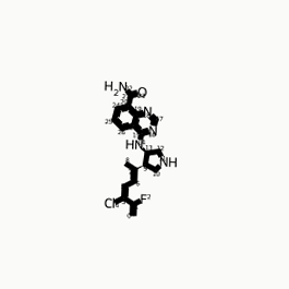 C=C(F)/C(Cl)=C\C=C(/C)[C@H]1CNC[C@@H]1Nc1ncnc2c(C(N)=O)cccc12